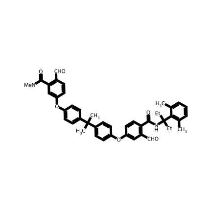 CCC(CC)(NC(=O)c1ccc(Oc2ccc(C(C)(C)c3ccc(Oc4ccc(C=O)c(C(=O)NC)c4)cc3)cc2)cc1C=O)c1c(C)cccc1C